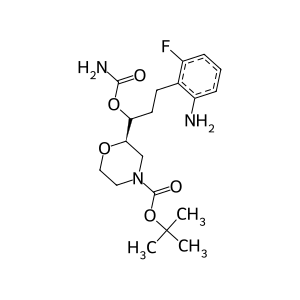 CC(C)(C)OC(=O)N1CCO[C@@H](C(CCc2c(N)cccc2F)OC(N)=O)C1